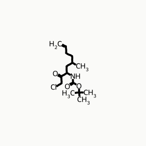 C=CCCC(C)CC(NC(=O)OC(C)(C)C)C(=O)CCl